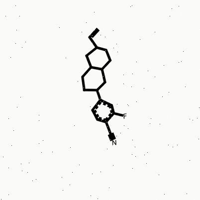 C=CC1CCC2CC(c3ccc(C#N)c(F)c3)CCC2C1